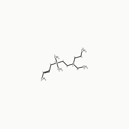 C/C=C/C[Si](C)(C)CCN(CC)CCC